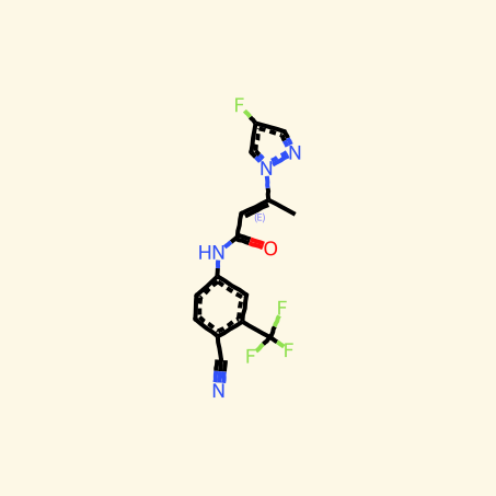 C/C(=C\C(=O)Nc1ccc(C#N)c(C(F)(F)F)c1)n1cc(F)cn1